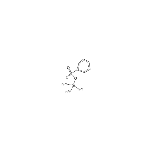 CCC[Si](CCC)(CCC)OS(=O)(=O)c1ccccc1